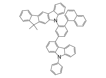 CC1(C)c2ccccc2-c2cc3c4ccccc4n(-c4cc(-c5cccc6c5c5ccccc5n6-c5ccccc5)ccc4-c4cccc5ccccc45)c3cc21